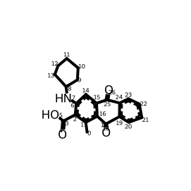 Cc1c(C(=O)O)c(NC2CCCCC2)cc2c1C(=O)c1ccccc1C2=O